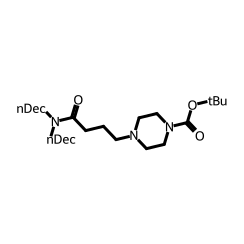 CCCCCCCCCCN(CCCCCCCCCC)C(=O)CCCN1CCN(C(=O)OC(C)(C)C)CC1